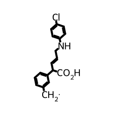 [CH2]c1cccc(C(C=CCNc2ccc(Cl)cc2)C(=O)O)c1